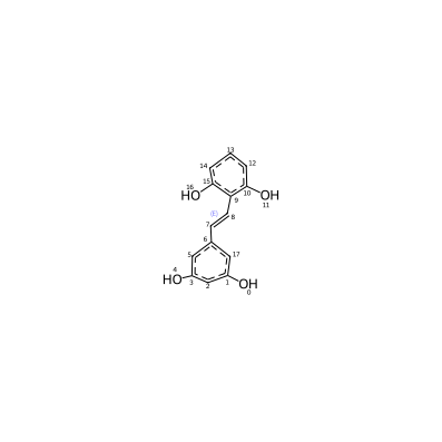 Oc1cc(O)cc(/C=C/c2c(O)cccc2O)c1